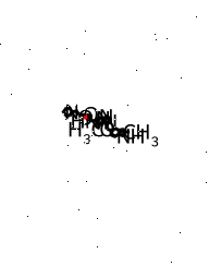 Cc1cc2cc(Oc3ncnn4cc(NC(=O)OCCCN5CCCCC5)c(C)c34)ccc2[nH]1